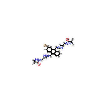 C=C(C)C(=O)NCCCNCc1c2ccccc2c(CNCCCNC(=O)C(=C)C)c2cc(Br)ccc12